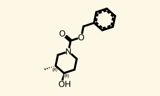 C[C@@H]1CN(C(=O)OCc2ccccc2)CC[C@H]1O